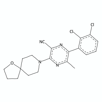 Cc1nc(N2CCC3(CCCO3)CC2)c(C#N)nc1-c1cccc(Cl)c1Cl